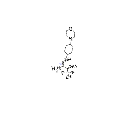 CCC(F)(F)C(=N)/C(N)=C\N[C@H]1CC[C@H](N2CCOCC2)CC1